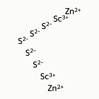 [S-2].[S-2].[S-2].[S-2].[S-2].[Sc+3].[Sc+3].[Zn+2].[Zn+2]